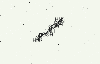 CNS(=O)(=O)c1cccc(OCC(O)CNC2COC3(CCN(S(=O)(=O)c4cnc5nc(C)[nH]c5c4)CC3)C2)c1